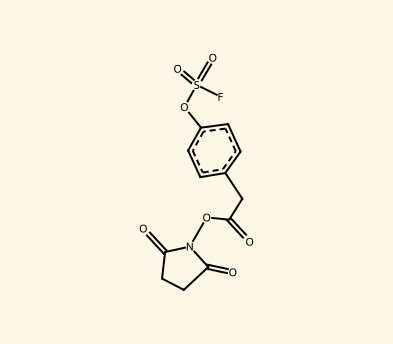 O=C(Cc1ccc(OS(=O)(=O)F)cc1)ON1C(=O)CCC1=O